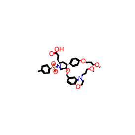 COCCCOc1ccc([C@H]2C[C@H](CCC(=O)O)N(S(=O)(=O)c3ccc(C)cc3)C[C@@H]2OCc2ccc3c(c2)N(CCCOC)CCO3)cc1